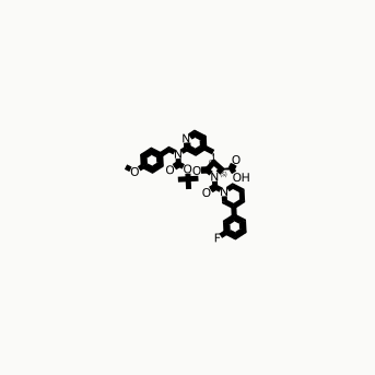 COc1ccc(CN(C(=O)OC(C)(C)C)c2cc(C[C@H]3C(=O)N(C(=O)N4CCCC(c5cccc(F)c5)C4)[C@@H]3C(=O)O)ccn2)cc1